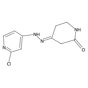 O=C1C/C(=N/Nc2ccnc(Cl)c2)CCN1